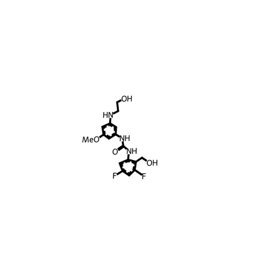 COc1cc(NCCO)cc(NC(=O)Nc2cc(F)cc(F)c2CO)c1